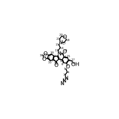 [N-]=[N+]=NCCCOc1cc2c3c(n(CCCN4CCOCC4)c(=O)c2cc1CO)-c1cc2c(cc1C3=O)OCO2